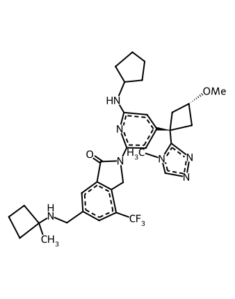 CO[C@H]1C[C@@](c2cc(NC3CCCC3)nc(N3Cc4c(cc(CNC5(C)CCC5)cc4C(F)(F)F)C3=O)c2)(c2nncn2C)C1